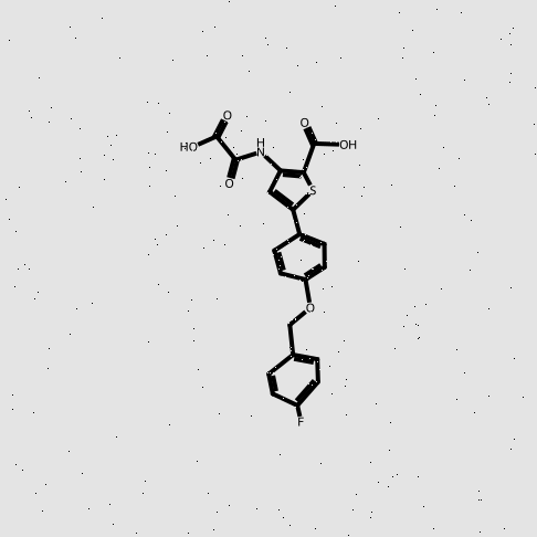 O=C(O)C(=O)Nc1cc(-c2ccc(OCc3ccc(F)cc3)cc2)sc1C(=O)O